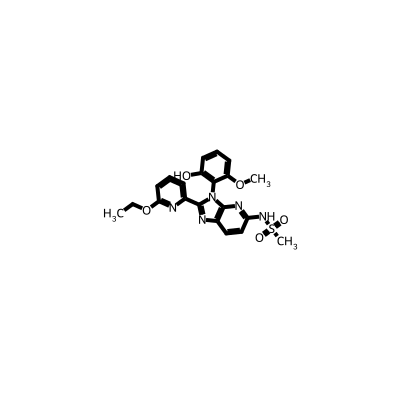 CCOC1=NC(c2nc3ccc(NS(C)(=O)=O)nc3n2-c2c(O)cccc2OC)=C=C=C1